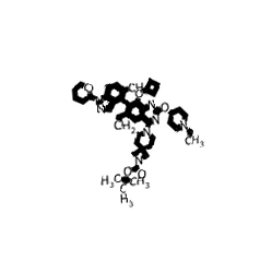 C=Cc1cc2c(N3CCC4(CC3)CN(C(=O)OC(C)(C)C)C4)nc(OC3CCN(CC)CC3)nc2c(OC2CCC2)c1-c1c(C)ccc2c1cnn2C1CCCCO1